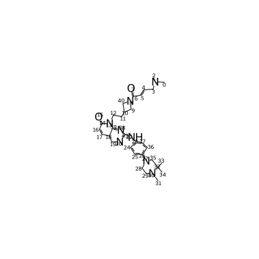 CN(C)C/C=C/C(=O)N1CC(CCN2C(=O)C=CC3CN=C(Nc4ccc(N5CCN(C)C(C)(C)C5)cc4)N=C32)C1